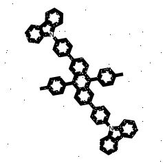 Cc1ccc(-c2c3ccc(-c4ccc(-n5c6ccccc6c6ccccc65)cc4)cc3c(-c3ccc(C)cc3)c3ccc(-c4ccc(-n5c6ccccc6c6ccccc65)cc4)cc23)cc1